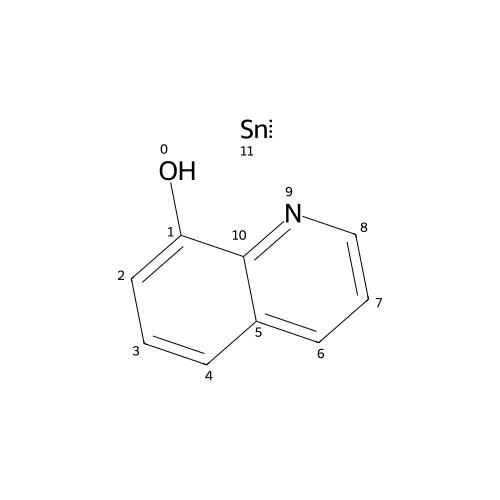 Oc1cccc2cccnc12.[Sn]